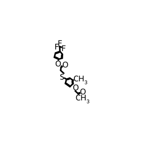 CC(=O)COc1ccc(SCCC(=O)Oc2ccc(C(F)(F)F)cc2)cc1C